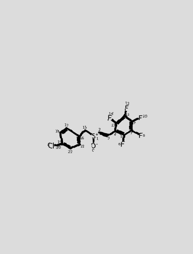 [O-][S+](C=Cc1c(F)c(F)c(F)c(F)c1F)Cc1ccc(Cl)cc1